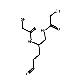 O=CCCC(CNC(=O)CS)NC(=O)CS